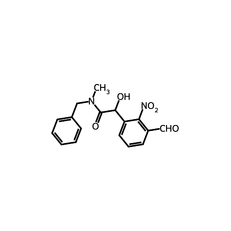 CN(Cc1ccccc1)C(=O)C(O)c1cccc(C=O)c1[N+](=O)[O-]